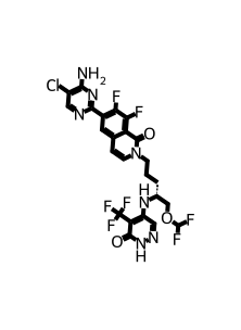 Nc1nc(-c2cc3ccn(CCC[C@H](COC(F)F)Nc4cn[nH]c(=O)c4C(F)(F)F)c(=O)c3c(F)c2F)ncc1Cl